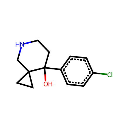 OC1(c2ccc(Cl)cc2)CCNCC12CC2